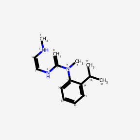 C=C(N/C=C\NC)N(C)c1ccccc1C(C)C